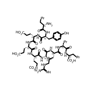 CC[C@H](C)[C@H](NC(=O)[C@H](CCC(=O)O)NC(=O)[C@H](CCC(=O)O)NC(=O)[C@H](CCC(=O)O)NC(=O)[C@H](Cc1ccc(O)cc1)NC(=O)[C@@H](N)CC(C)C)C(=O)N[C@@H](CCCNC(=N)N)C(=O)N[C@H](C(=O)N[C@@H](CC(C)C)C(=O)O)C(C)C